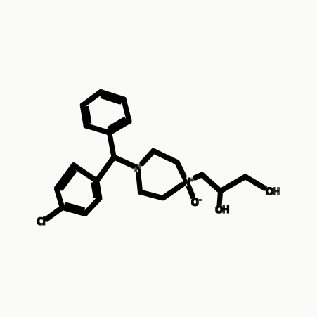 [O-][N+]1(CC(O)CO)CCN(C(c2ccccc2)c2ccc(Cl)cc2)CC1